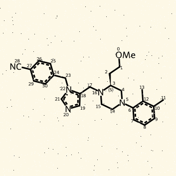 COCC[C@H]1CN(c2cccc(C)c2C)CCN1Cc1cncn1Cc1ccc(C#N)cc1